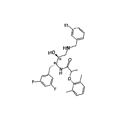 CCc1cccc(CNC[C@H](O)[C@@H](Cc2cc(F)cc(F)c2)NC(=O)C(C)Oc2c(C)cccc2C)c1